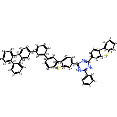 c1ccc(-c2nc(-c3ccc4c(c3)sc3ccccc34)nc(-c3ccc4c(c3)sc3ccc(-c5cccc(-c6ccc7c8ccccc8c8ccccc8c7c6)c5)cc34)n2)cc1